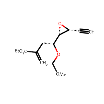 C#C[C@H]1O[C@H]1[C@@H](CC(=C)C(=O)OCC)OCOC